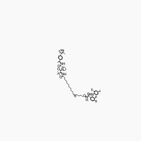 Cc1ncsc1-c1ccc([C@H](C)NC(=O)[C@@H]2CCCN2C(=O)[C@@H](NC(=O)CCCCCCCCCCN(C)CCCCONC(=O)c2ccc(F)c(F)c2Nc2ccc(I)cc2F)C(C)(C)C)cc1